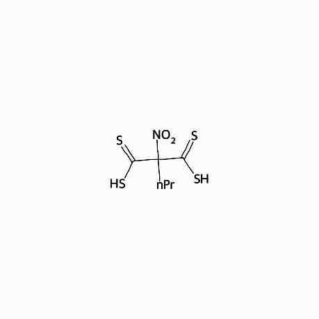 CCCC(C(=S)S)(C(=S)S)[N+](=O)[O-]